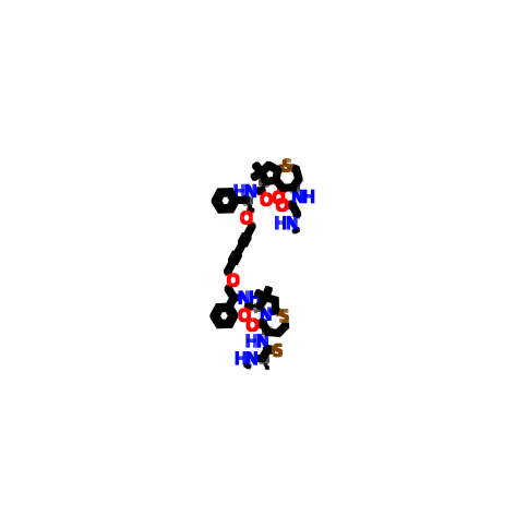 CNCC(=O)N[C@H]1CCSC2CC(C)(C)[C@@H](C(=O)N[C@H](COCC#CC#CCOCC(NC(=O)[C@H]3N4C(=O)[C@@H](NC(=S)[C@H](C)NC)CCSC4CC3(C)C)c3ccccc3)c3ccccc3)C2C1=O